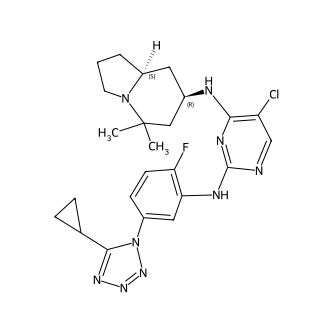 CC1(C)C[C@H](Nc2nc(Nc3cc(-n4nnnc4C4CC4)ccc3F)ncc2Cl)C[C@@H]2CCCN21